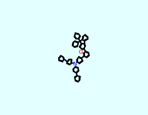 c1ccc(-c2ccc(N(c3ccc(-c4ccccc4)cc3)c3ccc(-c4cccc5c4oc4cc6c(cc45)-c4ccccc4C6(c4ccccc4)c4ccccc4)cc3)cc2)cc1